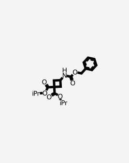 CC(C)OC(=O)C1(C(=O)OC(C)C)CC(NC(=O)OCc2ccccc2)C1